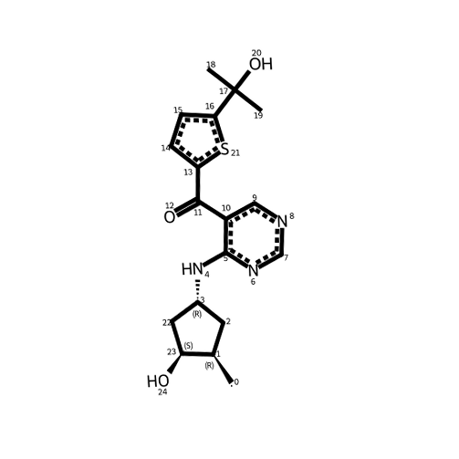 [CH2][C@@H]1C[C@@H](Nc2ncncc2C(=O)c2ccc(C(C)(C)O)s2)C[C@@H]1O